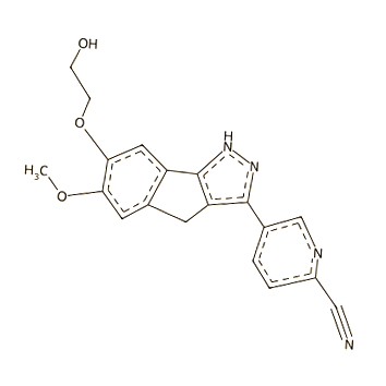 COc1cc2c(cc1OCCO)-c1[nH]nc(-c3ccc(C#N)nc3)c1C2